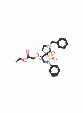 CCOC(=O)CO[C@H]1CN(c2cc#ccc2)S(=O)(=O)[C@@]12CCN(Cc1ccccc1)C2